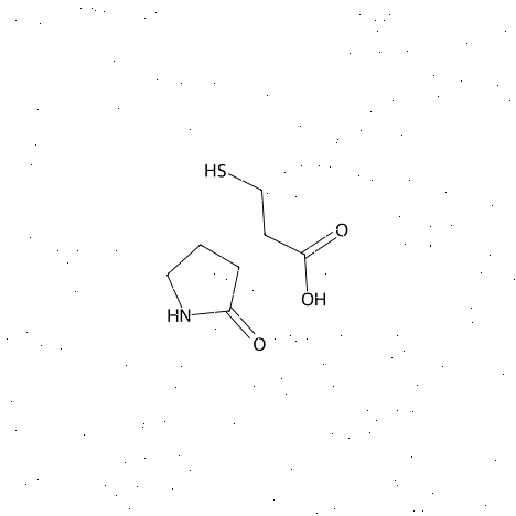 O=C(O)CCS.O=C1CCCN1